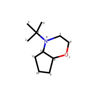 CC(C)(C)N1CCOC2CCCC21